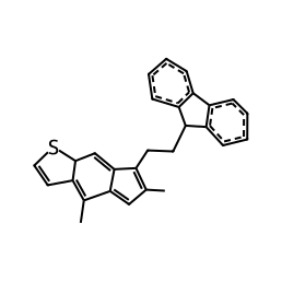 CC1=C(CCC2c3ccccc3-c3ccccc32)C2=CC3SC=CC3=C(C)C2=C1